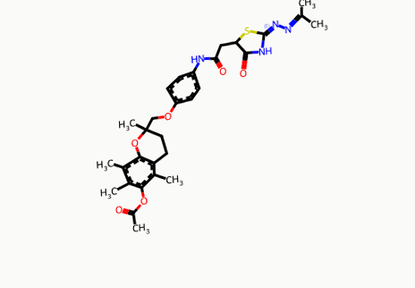 CC(=O)Oc1c(C)c(C)c2c(c1C)CCC(C)(COc1ccc(NC(=O)CC3S/C(=N/N=C(C)C)NC3=O)cc1)O2